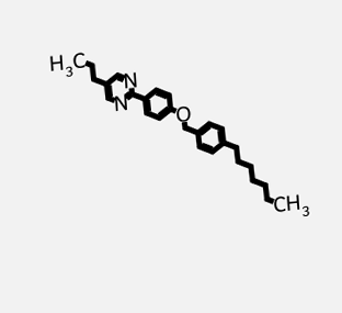 CCCCCCCc1ccc(COc2ccc(-c3ncc(CCC)cn3)cc2)cc1